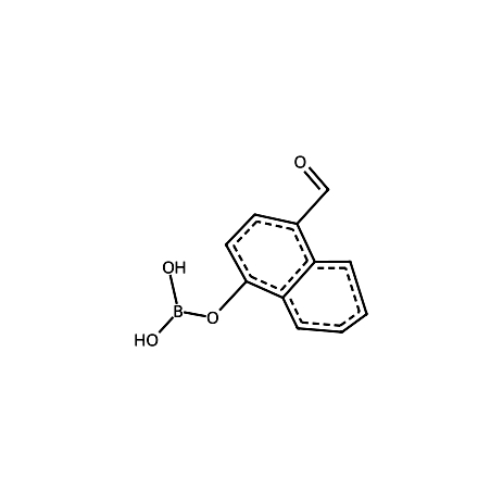 O=Cc1ccc(OB(O)O)c2ccccc12